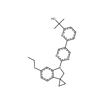 CCSc1ccc2c(c1)N(c1ncc(-c3cccc(C(C)(C)O)n3)cn1)CC21CC1